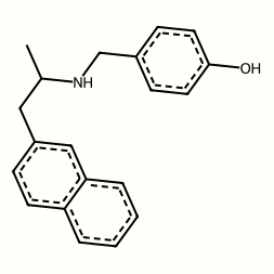 CC(Cc1ccc2ccccc2c1)NCc1ccc(O)cc1